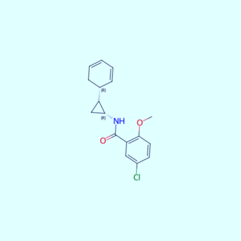 COc1ccc(Cl)cc1C(=O)N[C@@H]1CC1[C@H]1C=CC=CC1